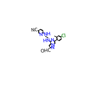 Cc1cc(Cl)ccc1-c1cn2nc(C=O)cc2c(NCCNc2ccc(C#N)cn2)n1